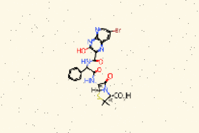 CC1(C)S[C@@H]2[C@H](NC(=O)C(NC(=O)c3nc4cc(Br)cnc4nc3O)c3ccccc3)C(=O)N2[C@H]1C(=O)O